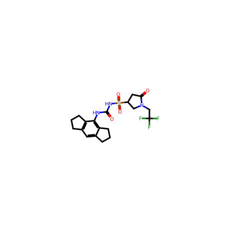 O=C(Nc1c2c(cc3c1CCC3)CCC2)NS(=O)(=O)C1CC(=O)N(CC(F)(F)F)C1